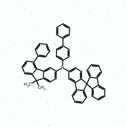 CC1(C)c2ccc(N(c3ccc(-c4ccccc4)cc3)c3ccc4c(c3)-c3ccccc3C43c4ccccc4-c4ccccc43)cc2-c2c(-c3ccccc3)cccc21